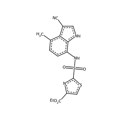 CCOC(=O)c1csc(S(=O)(=O)Nc2ccc(C)c3c(C#N)c[nH]c23)n1